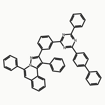 c1ccc(-c2ccc(-c3nc(-c4ccccc4)nc(-c4cccc(-c5nn6c(-c7ccccc7)cc7ccccc7c6c5-c5ccccc5)c4)n3)cc2)cc1